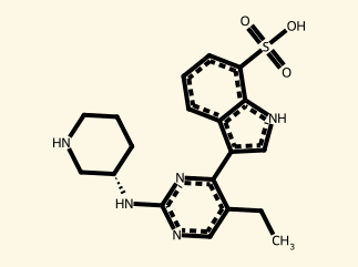 CCc1cnc(N[C@H]2CCCNC2)nc1-c1c[nH]c2c(S(=O)(=O)O)cccc12